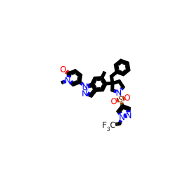 Cc1cc2c(cnn2-c2ccc(=O)n(C)c2)cc1C1(Cc2ccccc2)CCN(S(=O)(=O)c2cnn(CC(F)(F)F)c2)C1